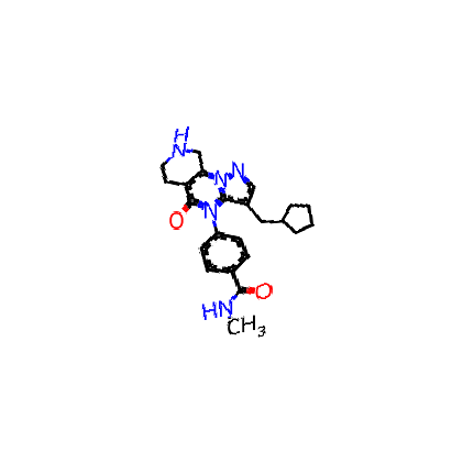 CNC(=O)c1ccc(-n2c(=O)c3c(n4ncc(CC5CCCC5)c24)CNCC3)cc1